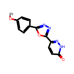 CC(C)Oc1ccc(-c2nnc(-c3ccc(=O)[nH]n3)o2)cc1